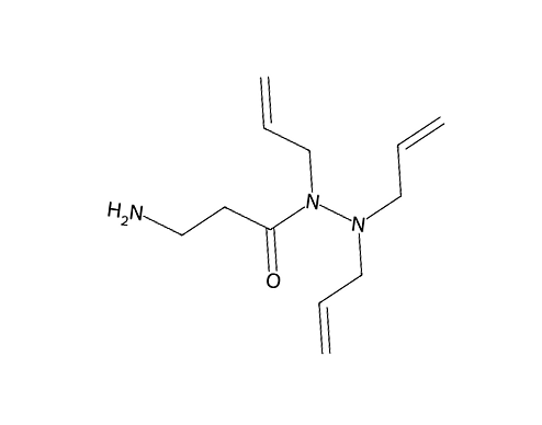 C=CCN(CC=C)N(CC=C)C(=O)CCN